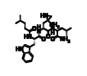 CC(C)CCC(=O)N[C@@H](Cc1c[nH]c2ccccc12)C(=O)NC(CC1(N)CN1)C(=O)N[C@@H](CC(C)C)C(N)=O